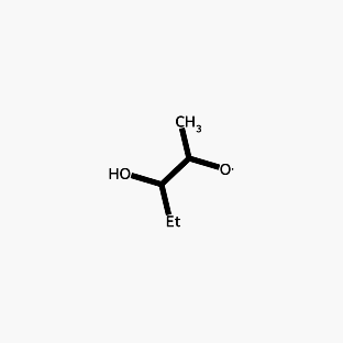 CCC(O)C(C)[O]